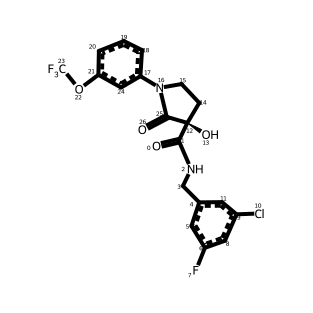 O=C(NCc1cc(F)cc(Cl)c1)[C@@]1(O)CCN(c2cccc(OC(F)(F)F)c2)C1=O